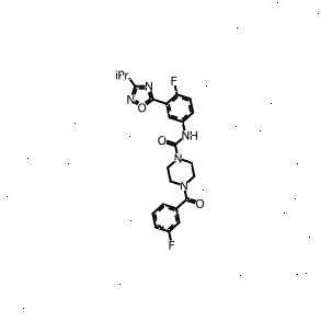 CC(C)c1noc(-c2cc(NC(=O)N3CCN(C(=O)c4cccc(F)c4)CC3)ccc2F)n1